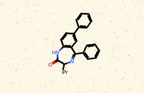 CC(C)C1N=C(c2ccccc2)c2cc(-c3ccccc3)ccc2NC1=O